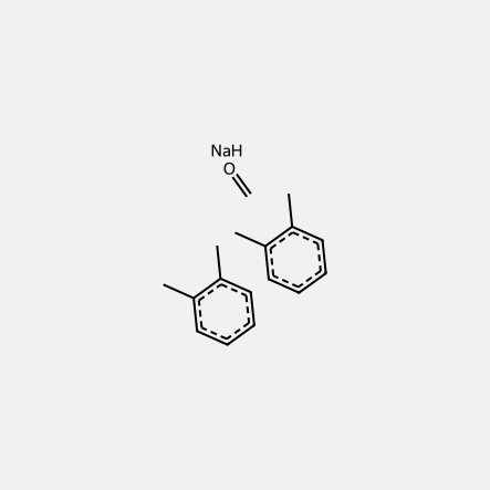 C=O.Cc1ccccc1C.Cc1ccccc1C.[NaH]